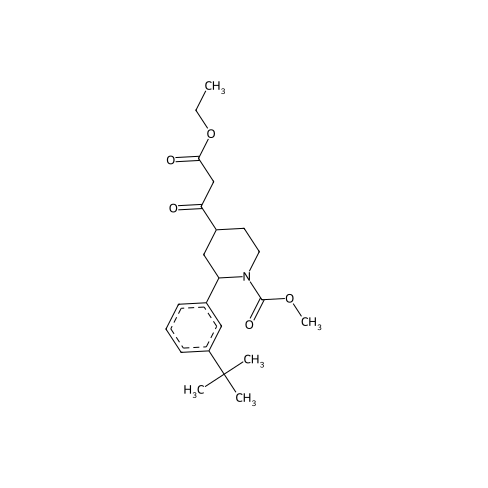 CCOC(=O)CC(=O)C1CCN(C(=O)OC)C(c2cccc(C(C)(C)C)c2)C1